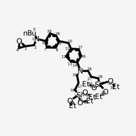 CCCCN(CC1CO1)c1ccc(Cc2ccc(N(CCC[Si](OCC)(OCC)OCC)CCC[Si](OCC)(OCC)OCC)cc2)cc1